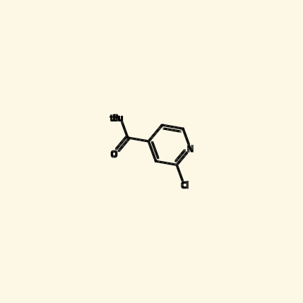 CC(C)(C)C(=O)c1ccnc(Cl)c1